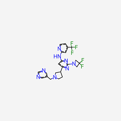 FC1(F)CN(c2nc(Nc3cc(C(F)(F)F)ccn3)cc(C3CCN(Cc4cncnc4)C3)n2)C1